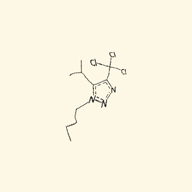 CCCCn1nnc(C(Cl)(Cl)Cl)c1C(C)C